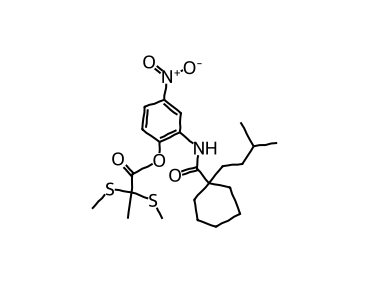 CSC(C)(SC)C(=O)Oc1ccc([N+](=O)[O-])cc1NC(=O)C1(CCC(C)C)CCCCC1